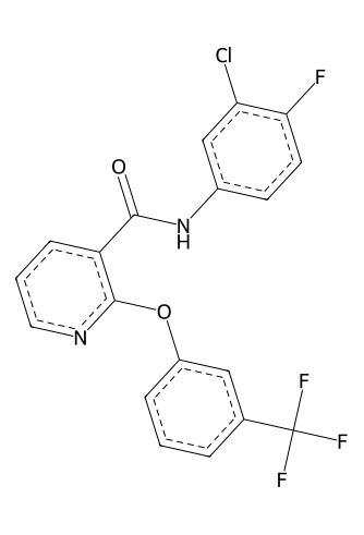 O=C(Nc1ccc(F)c(Cl)c1)c1cccnc1Oc1cccc(C(F)(F)F)c1